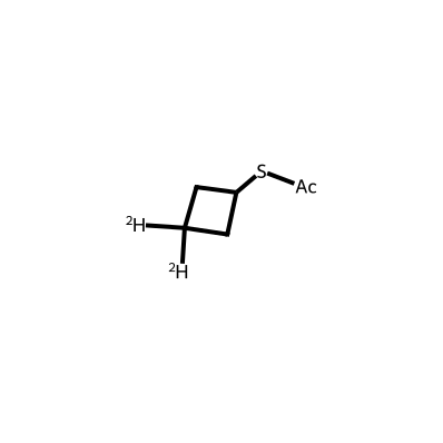 [2H]C1([2H])CC(SC(C)=O)C1